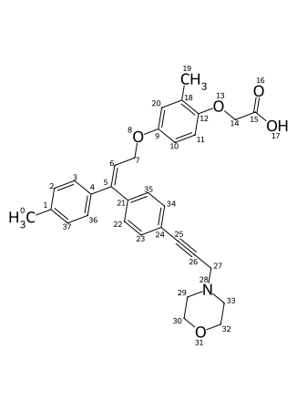 Cc1ccc(/C(=C/COc2ccc(OCC(=O)O)c(C)c2)c2ccc(C#CCN3CCOCC3)cc2)cc1